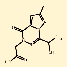 CC(C)c1nn(CC(=O)O)c(=O)c2cc(I)nn12